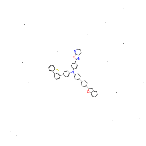 c1ccc2oc(-c3ccc(-c4ccc(N(c5ccc(-c6nc7cccnc7o6)cc5)c5ccc(-c6cccc7c6sc6ccccc67)cc5)cc4)cc3)cc2c1